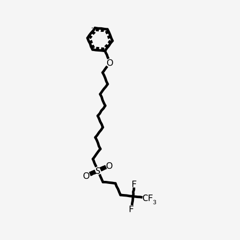 O=S(=O)(CCCCCCCCCOc1cc[c]cc1)CCCC(F)(F)C(F)(F)F